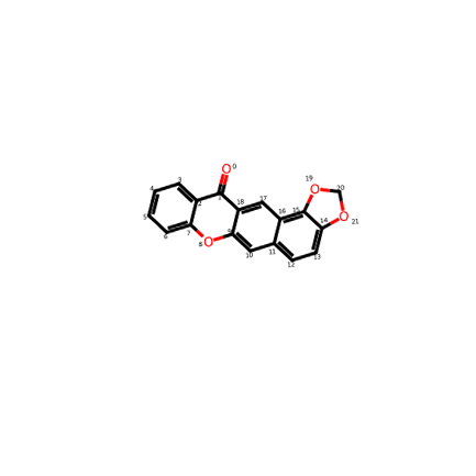 O=c1c2ccccc2oc2cc3ccc4c(c3cc12)OCO4